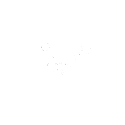 C[C@@H](NC(=O)OCc1ccccc1)C(=O)N1CCC2(CC1)CN(C(=O)OC(C)(C)C)C2